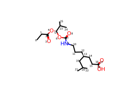 CCC(=O)O[C@@H](OC(=O)NCCC[C@@H](CCC(=O)O)CC(C)C)C(C)C